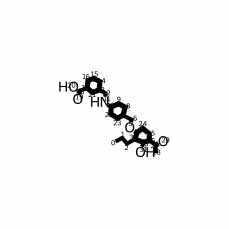 CCCc1c(OCc2ccc(NCc3cccc(C(=O)O)c3)cc2)ccc(C(C)=O)c1O